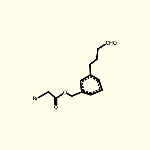 O=CCCCc1cccc(COC(=O)CBr)c1